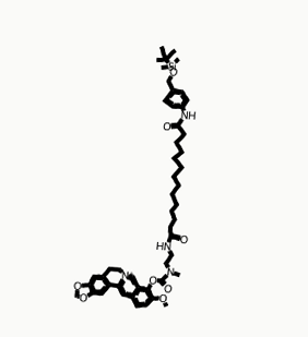 COc1ccc2cc3[n+](cc2c1OC(=O)N(C)CCNC(=O)CCCCCCCCCCCCC(=O)Nc1ccc(CO[Si](C)(C)C(C)(C)C)cc1)CCc1cc2c(cc1-3)OCO2